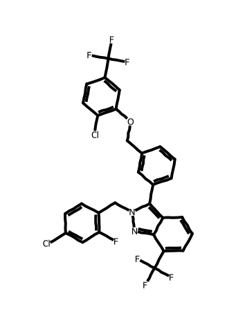 Fc1cc(Cl)ccc1Cn1nc2c(C(F)(F)F)cccc2c1-c1cccc(COc2cc(C(F)(F)F)ccc2Cl)c1